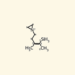 CC([SiH3])=C(C)CCN1CC1